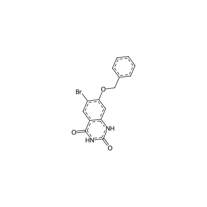 O=c1[nH]c(=O)c2cc(Br)c(OCc3ccccc3)cc2[nH]1